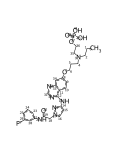 CCCN(CCCOc1ccc2c(Nc3ccn(CC(=O)Nc4cccc(F)c4)n3)ncnc2c1)CCOP(=O)(O)O